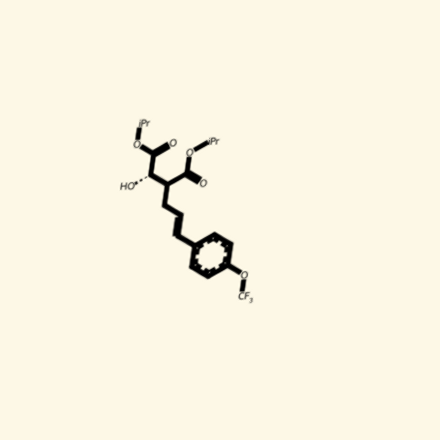 CC(C)OC(=O)C(C/C=C/c1ccc(OC(F)(F)F)cc1)[C@H](O)C(=O)OC(C)C